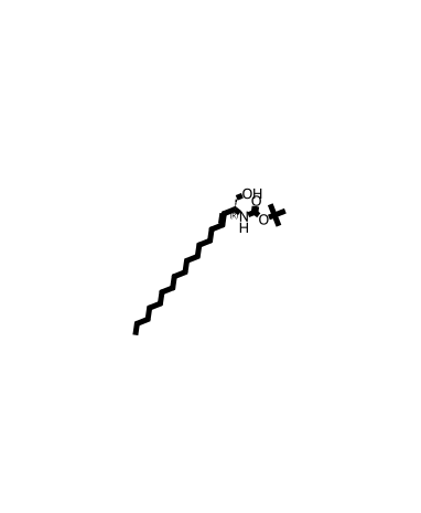 CCCCCCCCCCCCCCC=C[C@H](CO)NC(=O)OC(C)(C)C